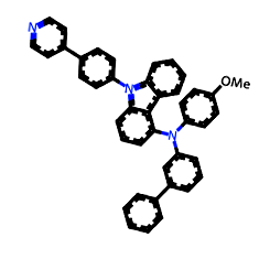 COc1ccc(N(c2cccc(-c3ccccc3)c2)c2cccc3c2c2ccccc2n3-c2ccc(-c3ccncc3)cc2)cc1